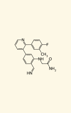 Cc1cc(-c2ncccc2-c2ccc(C=N)c(NCC(N)=O)c2)ccc1F